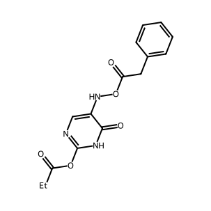 CCC(=O)Oc1ncc(NOC(=O)Cc2ccccc2)c(=O)[nH]1